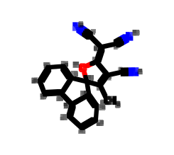 CC1=C(C#N)C(=C(C#N)C#N)OC12c1ccccc1-c1ccccc12